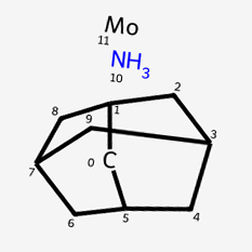 C1C2CC3CC1CC(C2)C3.N.[Mo]